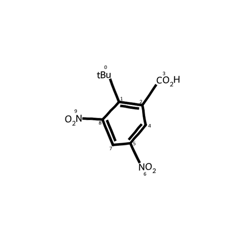 CC(C)(C)c1c(C(=O)O)cc([N+](=O)[O-])cc1[N+](=O)[O-]